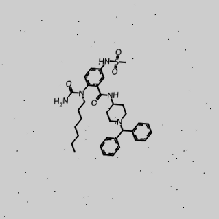 CCCCCCCN(C(N)=O)c1ccc(NS(C)(=O)=O)cc1C(=O)NC1CCN(C(c2ccccc2)c2ccccc2)CC1